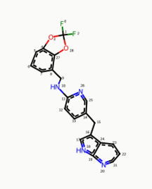 FC1(F)Oc2cccc(CNc3ccc(Cc4c[nH]c5ncccc45)cn3)c2O1